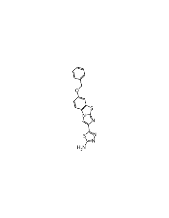 Nc1nnc(-c2cn3c(n2)sc2cc(OCc4ccccc4)ccc23)s1